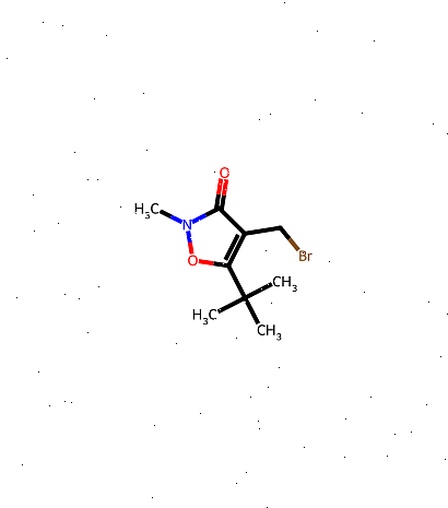 Cn1oc(C(C)(C)C)c(CBr)c1=O